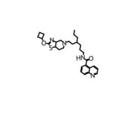 CCCC(CCCNC(=O)c1cccc2ncccc12)CCN1CCC2SC(OC3CCC3)=NC2C1